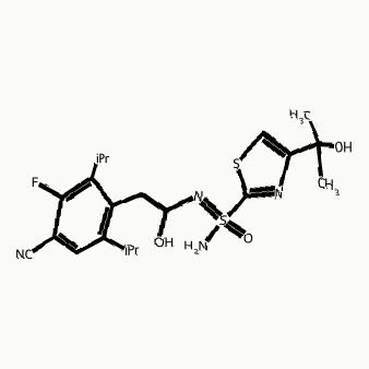 CC(C)c1cc(C#N)c(F)c(C(C)C)c1CC(O)N=S(N)(=O)c1nc(C(C)(C)O)cs1